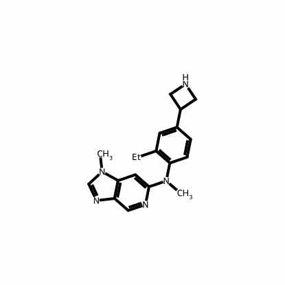 CCc1cc(C2CNC2)ccc1N(C)c1cc2c(cn1)ncn2C